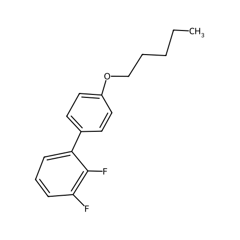 CCCCCOc1ccc(-c2cccc(F)c2F)cc1